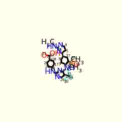 CNc1nccc(-c2ccc(Nc3nc(Nc4ccc(C(=O)O)cc4)ncc3C(F)(F)F)c(P(C)(C)=O)c2)n1